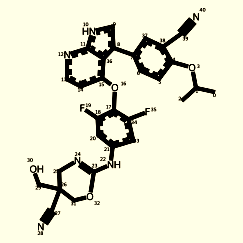 CC(C)Oc1ccc(-c2c[nH]c3nccc(Oc4c(F)cc(NC5=NCC(C#N)(CO)CO5)cc4F)c23)cc1C#N